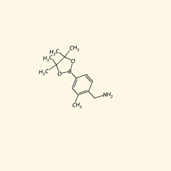 Cc1cc(B2OC(C)(C)C(C)(C)O2)ccc1CN